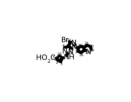 O=C(O)C12CCC(Nc3ncc4c(Br)nn(-c5ccc6ncccc6c5)c4n3)(C1)C2